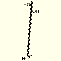 CCC(O)CCC(O)CCCCCCCCCCCCCCCCCCCCCC(=O)O